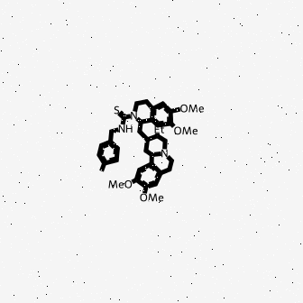 CCC1CN2CCc3cc(OC)c(OC)cc3C2CC1CC1c2cc(OC)c(OC)cc2CCN1C(=S)NCc1ccc(C)cc1